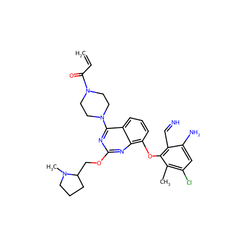 C=CC(=O)N1CCN(c2nc(OCC3CCCN3C)nc3c(Oc4c(C)c(Cl)cc(N)c4C=N)cccc23)CC1